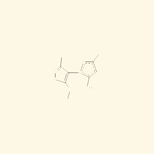 CCOC1=C(n2nc(CC)cc2OC)C(CC)=N[N]1